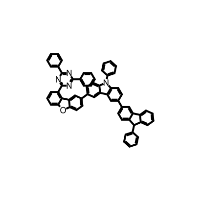 c1ccc(-c2nc(-c3ccccc3)nc(-c3cccc4oc5ccc(-c6ccc7c(c6)c6cc(-c8ccc9c(c8)-c8ccccc8C9c8ccccc8)ccc6n7-c6ccccc6)cc5c34)n2)cc1